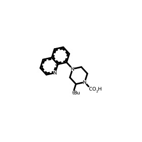 CC(C)(C)C1CN(c2cccc3cccnc23)CCN1C(=O)O